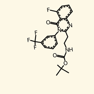 CC(C)(C)OC(=O)NCCc1nc2cccc(F)c2c(=O)n1-c1cccc(C(F)(F)F)c1